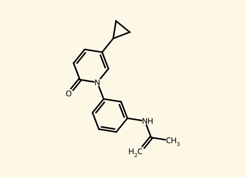 C=C(C)Nc1cccc(-n2cc(C3CC3)ccc2=O)c1